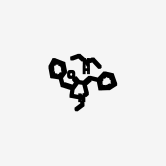 CCN1CC(=Cc2ccccc2)C(=O)C(=Cc2ccccc2)C1.CCNCC